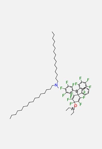 CCCCCCCCCCCCCCCCN(C)CCCCCCCCCCCCCCCC.C[CH2][Al]([CH2]C)[O]C1(F)C(F)=C(F)C(B(c2c(F)c(F)c(F)c(F)c2F)c2c(F)c(F)c(F)c(F)c2F)(c2ccccc2)C(F)=C1F